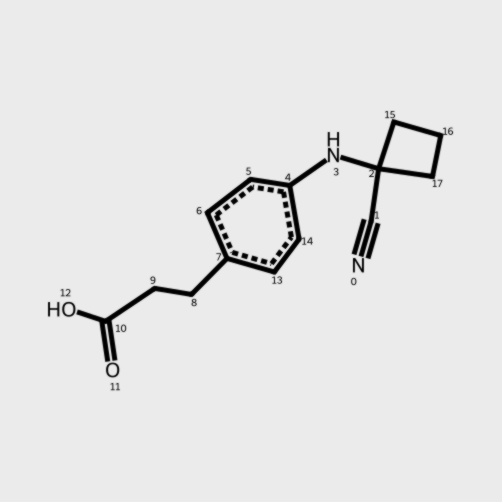 N#CC1(Nc2ccc(CCC(=O)O)cc2)CCC1